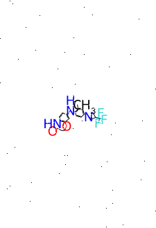 Cc1cc(N2CC(C(F)(F)F)C2)ccc1Nc1ccc2c(c1)OCCC(=O)N2